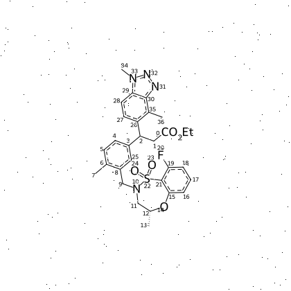 CCOC(=O)CC(c1ccc(C)c(CN2C[C@@H](C)Oc3cccc(F)c3S2(=O)=O)c1)c1ccc2c(nnn2C)c1C